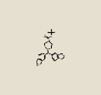 CC(C)(C)OC(=O)N1CCN(C(c2ccc3c(c2)COC3)c2ccc3c(c2)COC3)CC1